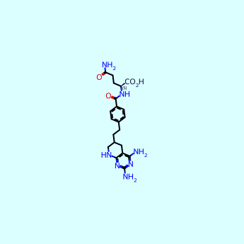 NC(=O)CC[C@H](NC(=O)c1ccc(CCC2CNc3nc(N)nc(N)c3C2)cc1)C(=O)O